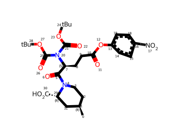 C[C@@H]1CCN(C(=O)[C@H](CCC(=O)Oc2ccc([N+](=O)[O-])cc2)N(C(=O)OC(C)(C)C)C(=O)OC(C)(C)C)[C@@H](C(=O)O)C1